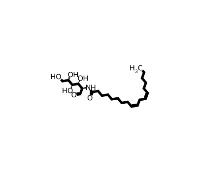 CCCCC/C=C\C/C=C\CCCCCCCC(=O)N[C@@H](C=O)[C@@H](O)[C@H](O)[C@H](O)CO